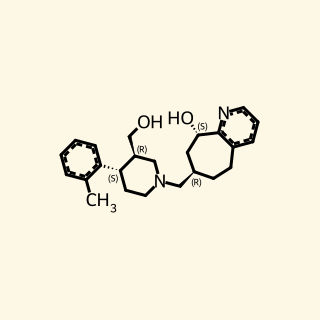 Cc1ccccc1[C@H]1CCN(C[C@@H]2CCc3cccnc3[C@@H](O)C2)C[C@@H]1CO